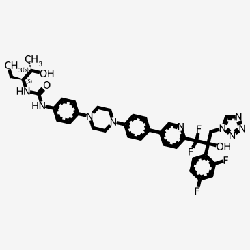 CC[C@H](NC(=O)Nc1ccc(N2CCN(c3ccc(-c4ccc(C(F)(F)C(O)(Cn5cnnn5)c5ccc(F)cc5F)nc4)cc3)CC2)cc1)[C@H](C)O